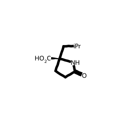 CC(C)C[C@@]1(C(=O)O)CCC(=O)N1